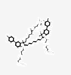 COCCOCCCN1/C(=C/C=C/C=C/C=C/C2=[N+](CCOCCOC)c3ccc(-c4ccc(C)cc4)cc3C2(C)C)C(C)(CCCCCC(=O)NCCSS(C)(=O)=O)c2cc(-c3ccc(C)cc3)ccc21